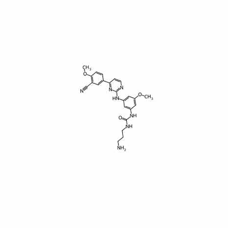 COc1cc(NC(=O)NCCCN)cc(Nc2nccc(-c3ccc(OC)c(C#N)c3)n2)c1